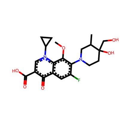 COc1c(N2CCC(O)(CO)C(C)C2)c(F)cc2c(=O)c(C(=O)O)cn(C3CC3)c12